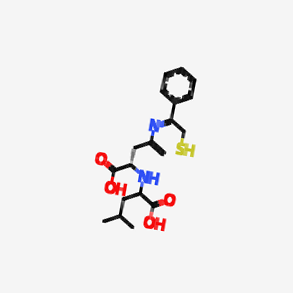 C=C(C[C@H](NC(CC(C)C)C(=O)O)C(=O)O)/N=C(\CS)c1ccccc1